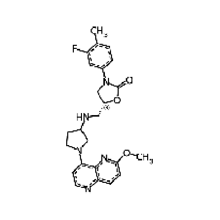 COc1ccc2nccc(N3CCC(NC[C@@H]4CN(c5ccc(C)c(F)c5)C(=O)O4)C3)c2n1